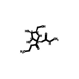 CCCC(=O)[C@]1(CC(=O)NC)N[C@H](CO)[C@@H](O)[C@@H]1O